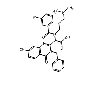 CN(C)CCCN(C(=O)c1cccc(Br)c1)C(C(=O)O)c1nc2cc(Cl)ccc2c(=O)n1Cc1ccccc1